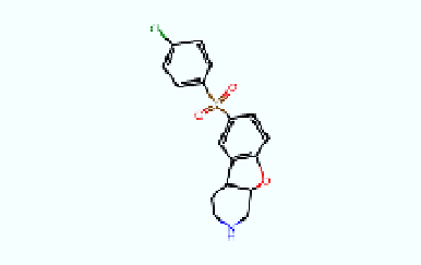 O=S(=O)(c1ccc(Cl)cc1)c1ccc2c(c1)C1CCNCC1O2